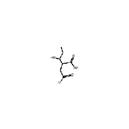 CCC(O)C(CC(=O)O)C(=O)O